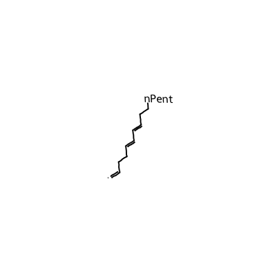 [CH]=CCCC=CC=CCCCCCCC